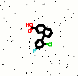 O=C(O)c1ccc2cccc(-c3ccc(F)cc3Cl)c2c1